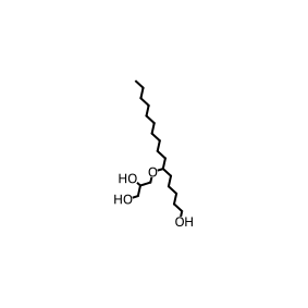 CCCCCCCCCCC(CCCCCO)OCC(O)CO